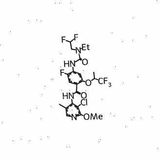 CCN(CC(F)F)C(=O)Nc1cc(OC(C)C(F)(F)F)c(C(=O)Nc2c(C)cnc(OC)c2Cl)cc1F